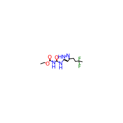 CCOC(=O)NC(=O)Nc1cc(CCC(C)(F)F)n[nH]1